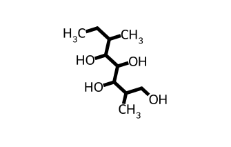 CCC(C)C(O)C(O)C(O)C(C)CO